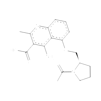 CC(=O)N1CCC[C@@H]1COc1cccc2nc(C)c(C(=O)O)c(N)c12